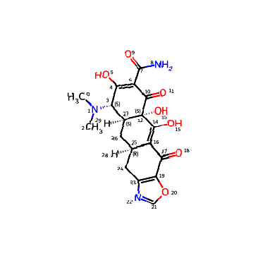 CN(C)[C@@H]1C(O)=C(C(N)=O)C(=O)[C@@]2(O)C(O)=C3C(=O)c4ocnc4C[C@H]3C[C@@H]12